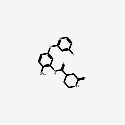 COc1ccc(Oc2cc(C(F)(F)F)ccn2)cc1NC(=O)C1CCNC(=O)C1